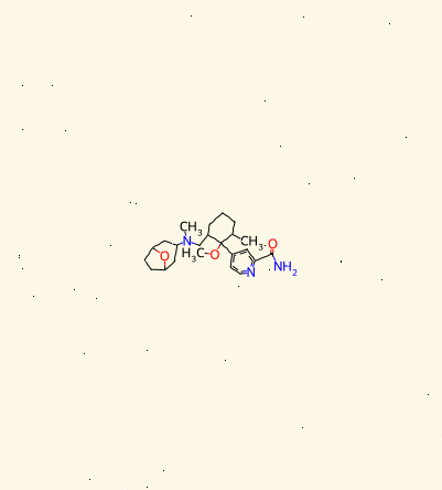 COC1(c2ccnc(C(N)=O)c2)C(C)CCCC1CN(C)C1CC2CCC(C1)O2